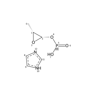 C[C@H]1O[C@H]1O[PH](=O)O.c1c[nH]cn1